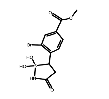 COC(=O)c1ccc(C2CC(=O)NS2(O)O)c(Br)c1